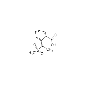 CN(c1ccccc1C(=O)O)S(C)(=O)=O